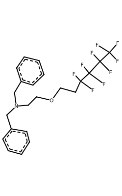 FC(F)(F)C(F)(F)C(F)(F)C(F)(F)CCOCCN(Cc1ccccc1)Cc1ccccc1